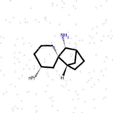 CCC[C@@H]1CCC[C@@]2(C1)[C@H]1CCC(C1)[C@H]2N